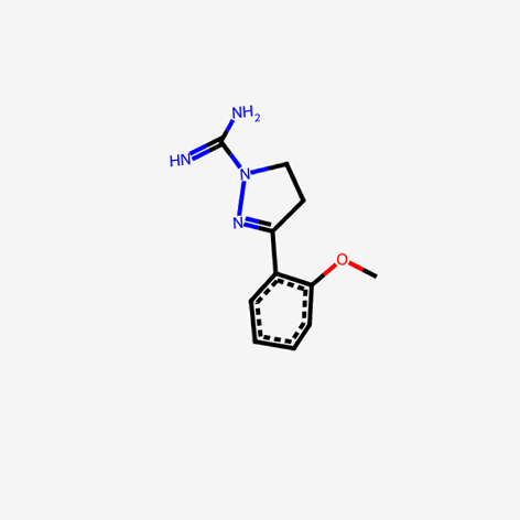 COc1ccccc1C1=NN(C(=N)N)CC1